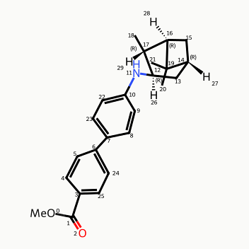 COC(=O)c1ccc(-c2ccc(N[C@@H]3C[C@H]4C[C@H]([C@H]3C)C4(C)C)cc2)cc1